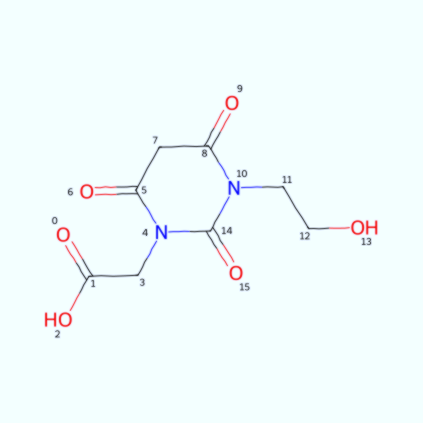 O=C(O)CN1C(=O)CC(=O)N(CCO)C1=O